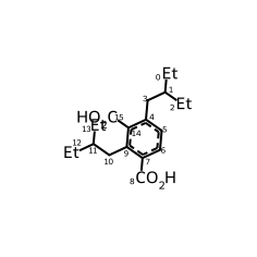 CCC(CC)Cc1ccc(C(=O)O)c(CC(CC)CC)c1C(=O)O